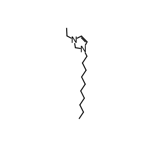 CCCCCCCCCCN1C=CN(CC)C1